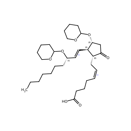 CCCCCCC[C@@H](/C=C/[C@H]1[C@H](OC2CCCCO2)CC(=O)[C@@H]1C/C=C\CCCC(=O)O)OC1CCCCO1